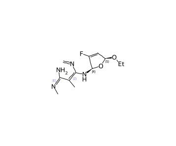 C=N/C(N[C@@H]1O[C@H](OCC)C=C1F)=C(C)\C(N)=N/C